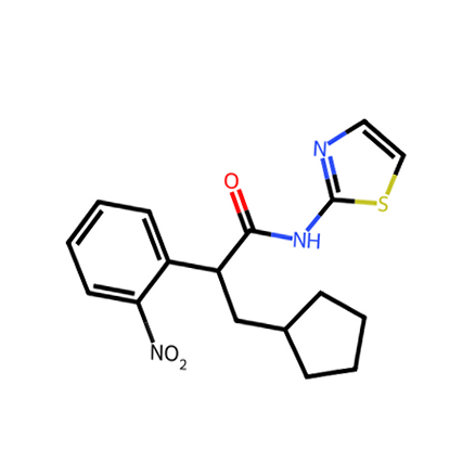 O=C(Nc1nccs1)C(CC1CCCC1)c1ccccc1[N+](=O)[O-]